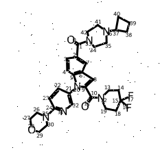 O=C(c1ccc2c(c1)cc(C(=O)N1CCC(F)(F)CC1)n2-c1ccc(N2CCOCC2)nc1)N1CCN(C2CCC2)CC1